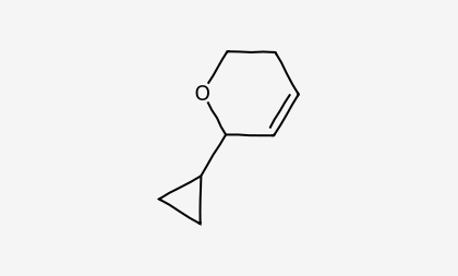 C1=CC(C2CC2)OCC1